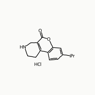 CC(C)c1ccc2c3c(c(=O)oc2c1)CNCC3.Cl